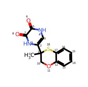 CC1(c2c[nH]c(=O)c(=O)[nH]2)COc2ccccc2S1